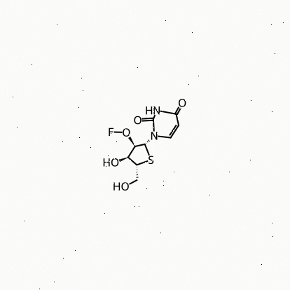 O=c1ccn([C@@H]2S[C@H](CO)[C@@H](O)[C@H]2OF)c(=O)[nH]1